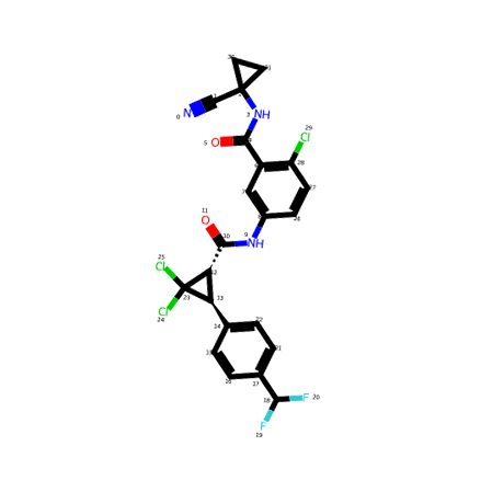 N#CC1(NC(=O)c2cc(NC(=O)[C@@H]3[C@@H](c4ccc(C(F)F)cc4)C3(Cl)Cl)ccc2Cl)CC1